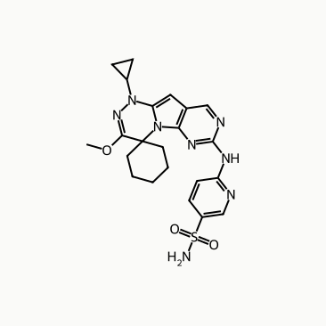 COC1=NN(C2CC2)c2cc3cnc(Nc4ccc(S(N)(=O)=O)cn4)nc3n2C12CCCCC2